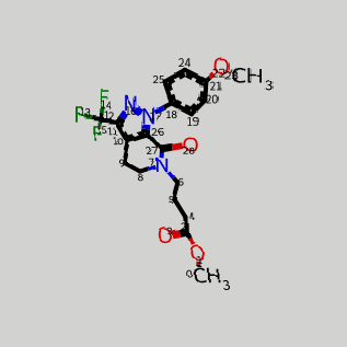 COC(=O)CCCN1CCc2c(C(F)(F)F)nn(-c3ccc(OC)cc3)c2C1=O